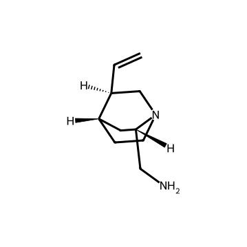 C=C[C@H]1CN2CC[C@H]1C[C@H]2CN